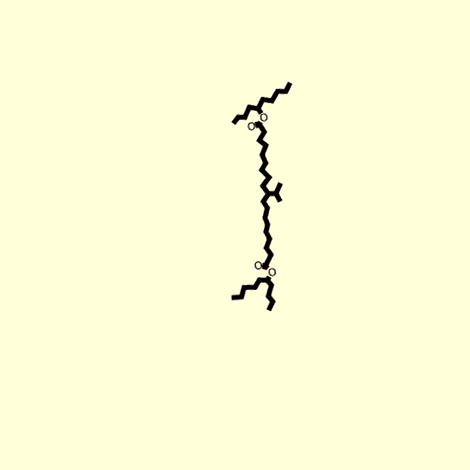 CCCCCC(CCCC)OC(=O)CCCCCCCCC(CCCCCCCCC(=O)OC(CCCC)CCCCC)C(C)C